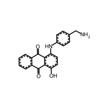 NCc1ccc(Nc2ccc(O)c3c2C(=O)c2ccccc2C3=O)cc1